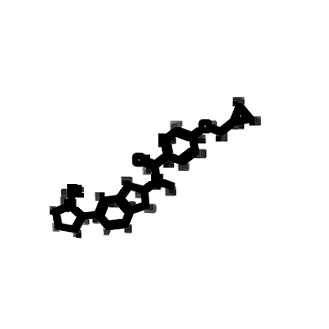 CCN1CCCC1c1ccc2c(c1)CC(N(C)C(=O)c1ccc(OCC3CC3)cn1)C2